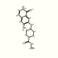 CC(C)(C)OC(=O)N1CCC(Oc2cc3c(=O)[nH]cnc3cc2C(F)(F)F)CC1